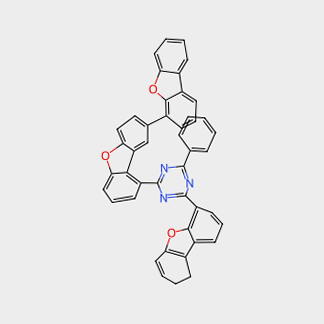 C1=Cc2oc3c(-c4nc(-c5ccccc5)nc(-c5cccc6oc7ccc(-c8cccc9c8oc8ccccc89)cc7c56)n4)cccc3c2CC1